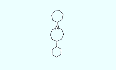 C1CCC(C2CCCN(C3CCCCCC3)CCC2)CC1